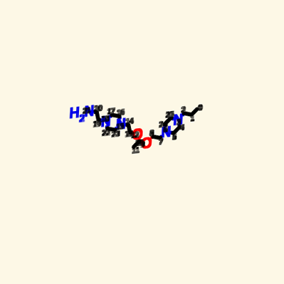 CCCN1CCN(CCOC(C)OCCN2CCN(CCN)CC2)CC1